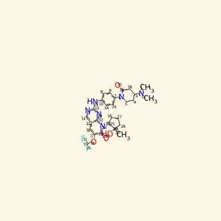 CN(C)C1CCN(c2ccc(Nc3ncc4cc(OC(F)F)c(=O)n([C@@H]5CCC[C@@]5(C)O)c4n3)cc2)C(=O)C1